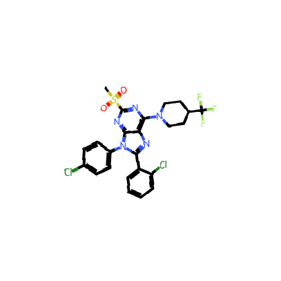 CS(=O)(=O)c1nc(N2CCC(C(F)(F)F)CC2)c2nc(-c3ccccc3Cl)n(-c3ccc(Cl)cc3)c2n1